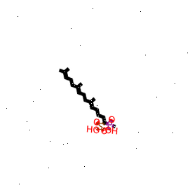 CC(C)=CCC/C(C)=C/CC/C(C)=C/CCCC(P(C)(=O)O)S(=O)(=O)O